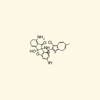 CC1=CCc2sc(C(=O)NC34C(=O)C5=C(N)CCC=C5C3(O)Oc3cc(C(C)C)ccc34)c(Cl)c2C=C1